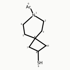 CC(=O)N1CCC2(CC1)CC(S)C2